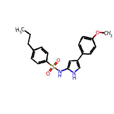 CCCc1ccc(S(=O)(=O)Nc2cc(-c3ccc(OC)cc3)c[nH]2)cc1